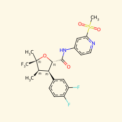 C[C@@H]1[C@H](c2ccc(F)c(F)c2)[C@@H](C(=O)Nc2ccnc(S(C)(=O)=O)c2)O[C@]1(C)C(F)(F)F